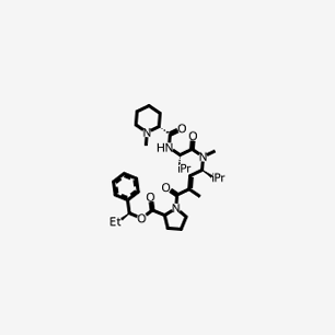 CC[C@H](OC(=O)C1CCCN1C(=O)/C(C)=C/[C@H](C(C)C)N(C)C(=O)[C@@H](NC(=O)[C@H]1CCCCN1C)C(C)C)c1ccccc1